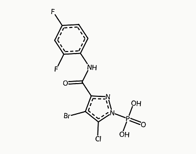 O=C(Nc1ccc(F)cc1F)c1nn(P(=O)(O)O)c(Cl)c1Br